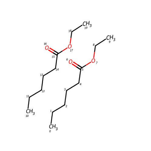 CCCCCC(=O)OCC.CCCCCC(=O)OCC